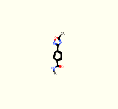 CCC(C)NC(=O)c1ccc(-c2noc(C(F)(F)F)n2)cc1